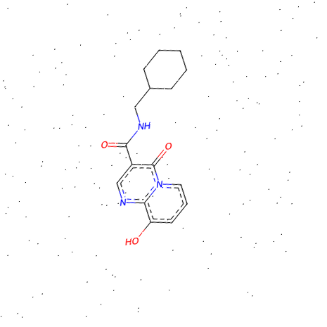 O=C(NCC1CCCCC1)c1cnc2c(O)cccn2c1=O